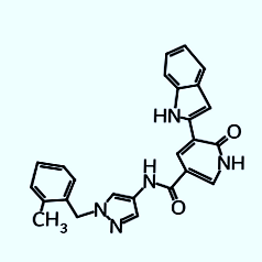 Cc1ccccc1Cn1cc(NC(=O)c2c[nH]c(=O)c(-c3cc4ccccc4[nH]3)c2)cn1